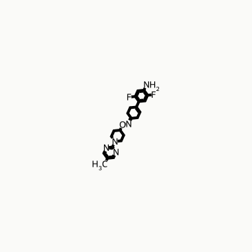 Cc1cnc(N2CCC(ON=C3CC=C(c4cc(F)c(N)cc4F)CC3)CC2)nc1